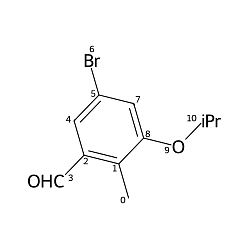 Cc1c(C=O)cc(Br)cc1OC(C)C